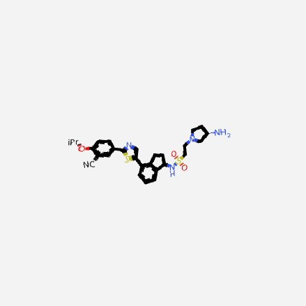 CC(C)Oc1ccc(-c2ncc(-c3cccc4c3CCC4NS(=O)(=O)CCN3CC[C@H](N)C3)s2)cc1C#N